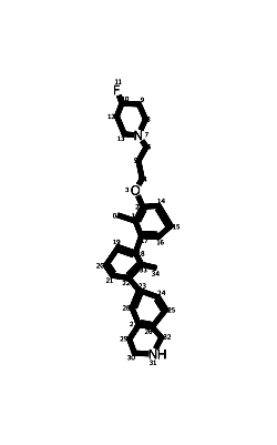 Cc1c(OCCCN2CCC(F)CC2)cccc1-c1cccc(-c2ccc3c(c2)CCNC3)c1C